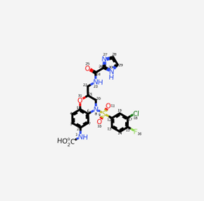 O=C(O)Nc1ccc2c(c1)N(S(=O)(=O)c1ccc(F)c(Cl)c1)CC(CNC(=O)c1ncc[nH]1)O2